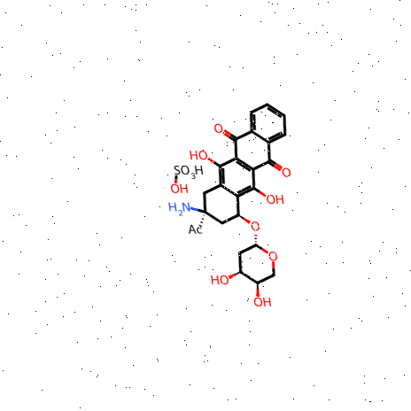 CC(=O)[C@]1(N)Cc2c(O)c3c(c(O)c2[C@@H](O[C@H]2C[C@H](O)[C@H](O)CO2)C1)C(=O)c1ccccc1C3=O.O=S(=O)(O)O